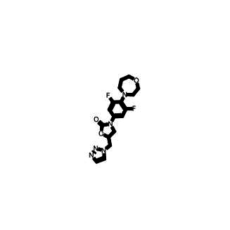 O=C1OC(Cn2ccnn2)CN1c1cc(F)c(N2CCCOCC2)c(F)c1